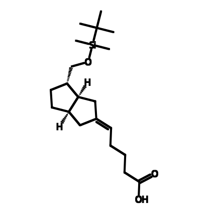 CC(C)(C)[Si](C)(C)OC[C@H]1CC[C@@H]2C/C(=C\CCCC(=O)O)C[C@H]12